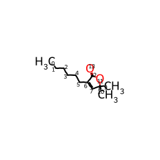 CCCCCCC1=CC(C)(C)OC1=O